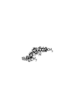 Cc1nc2cc(F)c(NC(=O)N3CCc4c(N5CCN(C(=O)OC(C)(C)C)[C@@H](C)C5)ccnc43)cn2n1